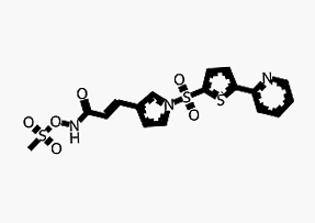 CS(=O)(=O)ONC(=O)/C=C/c1ccn(S(=O)(=O)c2ccc(-c3ccccn3)s2)c1